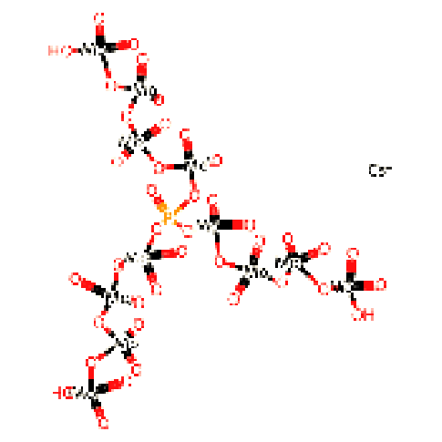 O=P([O][Mo](=[O])(=[O])[O][Mo](=[O])(=[O])[O][Mo](=[O])(=[O])[O][Mo](=[O])(=[O])[OH])([O][Mo](=[O])(=[O])[O][Mo](=[O])(=[O])[O][Mo](=[O])(=[O])[O][Mo](=[O])(=[O])[OH])[O][Mo](=[O])(=[O])[O][Mo](=[O])(=[O])[O][Mo](=[O])(=[O])[O][Mo](=[O])(=[O])[OH].[Cs+]